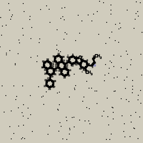 C=C/C=C\c1cc2oc3ccc(-c4c5ccccc5c(-c5cc(-c6ccccc6)cc6ccccc56)c5ccccc45)cc3c2cc1C